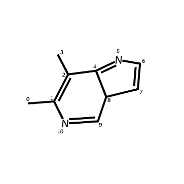 CC1=C(C)C2=NC=CC2C=N1